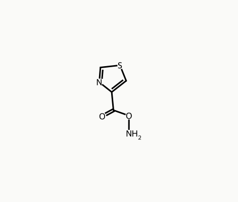 NOC(=O)c1cscn1